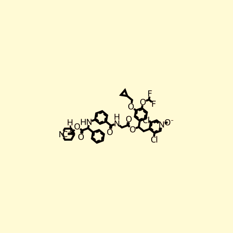 O=C(CNC(=O)c1cccc(NC(C(=O)O[C@H]2CN3CCC2CC3)c2ccccc2)c1)OC(Cc1c(Cl)c[n+]([O-])cc1Cl)c1ccc(OC(F)F)c(OCC2CC2)c1